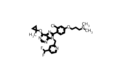 CN(C)CCCOc1ccc(-c2nc3c(OC4(C)CC4)ncnc3n2Cc2cc(C(F)F)ccn2)c(Cl)c1